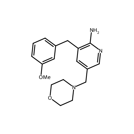 COc1cccc(Cc2cc(CN3CCOCC3)cnc2N)c1